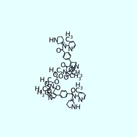 Cc1cccnc1N(C(=O)c1ccc(-c2cnn(C)c2C(=O)N(C(C)OC(=O)OC(C)N(C(=O)c2c(-c3ccc(C(=O)N(c4ncccc4C)[C@@H]4CCCNC4)cc3)cnn2C)S(C)(=O)=O)S(C)(=O)=O)cc1)[C@@H]1CCCNC1